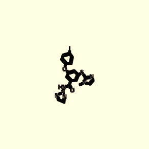 Cn1ccnc1Sc1cc(Oc2ccc(I)cc2)cc(C(=O)Nn2nccn2)c1